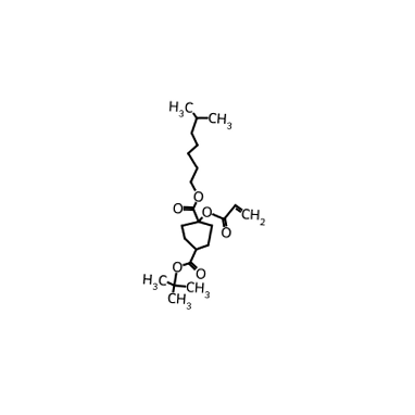 C=CC(=O)OC1(C(=O)OCCCCCC(C)C)CCC(C(=O)OC(C)(C)C)CC1